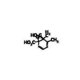 CC1=CC=CC(C)(C(=O)O)C1(C)C(=O)O